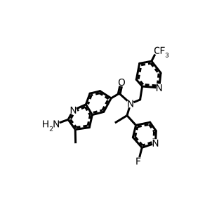 Cc1cc2cc(C(=O)N(Cc3ccc(C(F)(F)F)cn3)C(C)c3ccnc(F)c3)ccc2nc1N